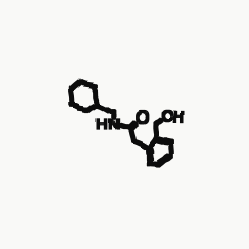 O=C(Cc1ccccc1CO)NCC1CCCCC1